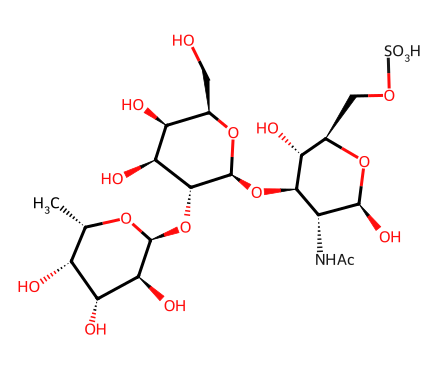 CC(=O)N[C@@H]1[C@@H](O[C@@H]2O[C@H](CO)[C@H](O)[C@H](O)[C@H]2O[C@@H]2O[C@@H](C)[C@@H](O)[C@@H](O)[C@@H]2O)[C@H](O)[C@@H](COS(=O)(=O)O)O[C@H]1O